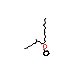 CCCCCCCCCCCC(CCC(C)CCCCCC)OCc1ccccc1